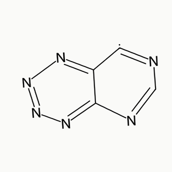 [c]1ncnc2nnnnc12